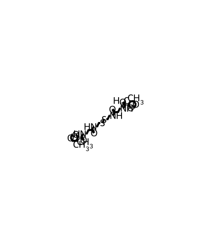 CC1(C)COCO[C@H]1C(=O)NCCC(=O)NCCSSCCNC(=O)CCNC(=O)[C@@H]1OCOCC1(C)C